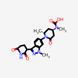 C[C@@H]1C[C@@H](N(C)C(=O)O)CC(=O)N1c1ccc2c(C3CCC(=O)NC3=O)nn(C)c2c1